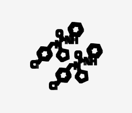 O=C(Nc1ccccc1)N(Cc1ccc(Cl)cc1)C1CCCC1.O=C(Nc1ccccc1)N(Cc1ccc(Cl)cc1)C1CCCC1